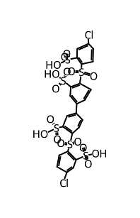 O=S(=O)(O)c1cc(Cl)ccc1S(=O)(=O)c1ccc(-c2ccc(S(=O)(=O)c3ccc(Cl)cc3S(=O)(=O)O)c(S(=O)(=O)O)c2)cc1S(=O)(=O)O